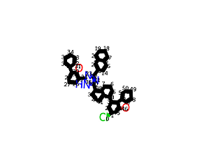 Clc1cc(-c2cccc3c(C4N=C(c5ccc6ccccc6c5)N=C(c5cccc6c5oc5ccccc56)N4)cccc23)c2c(c1)oc1ccccc12